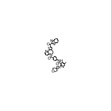 Cc1cnc(N2CC3(CCOCC3)C2)c(C(=O)Nc2ccc(C(=O)N3CCc4cc(C(=O)c5nc6ccccc6n5C)sc4-c4ncccc43)cc2)c1